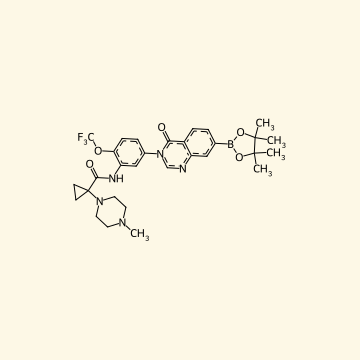 CN1CCN(C2(C(=O)Nc3cc(-n4cnc5cc(B6OC(C)(C)C(C)(C)O6)ccc5c4=O)ccc3OC(F)(F)F)CC2)CC1